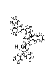 C=C(/C=c1\c(=C/C)n(-c2ccccc2)c2ccccc12)c1ccc2c(c1)c1cc3ccccc3cc1n2-c1cccc(-c2cc3c4c(cccc4c2)-c2ccccc2-3)c1